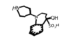 O=S(=O)(O)C1(O)CCN(C2CCNCC2)c2ccccc21